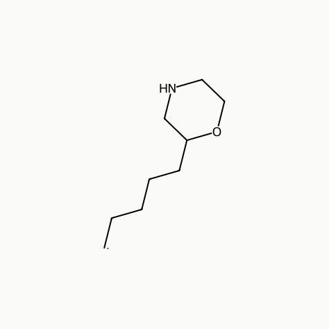 [CH2]CCCCC1CNCCO1